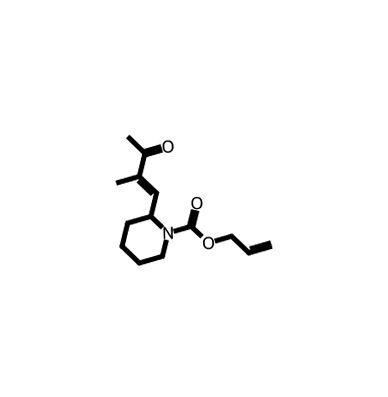 C=CCOC(=O)N1CCCCC1C=C(C)C(C)=O